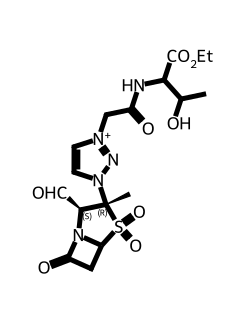 CCOC(=O)C(NC(=O)C[n+]1ccn([C@@]2(C)[C@H](C=O)N3C(=O)CC3S2(=O)=O)n1)C(C)O